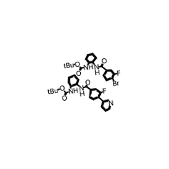 CC(C)(C)OC(=O)Nc1ccccc1NC(=O)c1ccc(-c2cccnc2)c(F)c1.CC(C)(C)OC(=O)Nc1ccccc1NC(=O)c1ccc(Br)c(F)c1